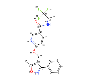 Cc1onc(-c2ccccc2)c1COc1ccc(C(=O)NC(C)C(F)(F)F)cn1